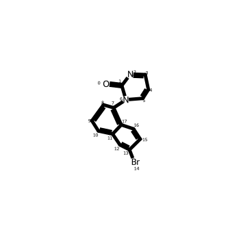 O=c1ncccn1-c1cccc2cc(Br)ccc12